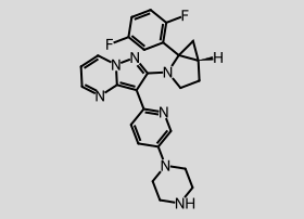 Fc1ccc(F)c(C23C[C@@H]2CCN3c2nn3cccnc3c2-c2ccc(N3CCNCC3)cn2)c1